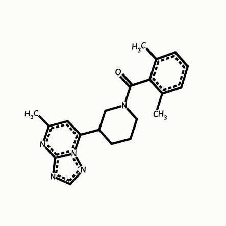 Cc1cc(C2CCCN(C(=O)c3c(C)cccc3C)C2)n2ncnc2n1